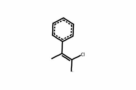 [CH2]C(Cl)=C(C)c1ccccc1